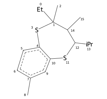 CCC1(C)Sc2ccc(C)cc2SC(C(C)C)C1C